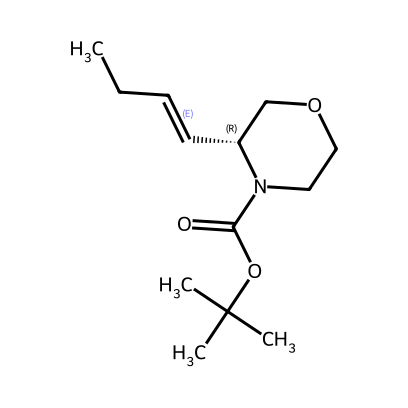 CC/C=C/[C@@H]1COCCN1C(=O)OC(C)(C)C